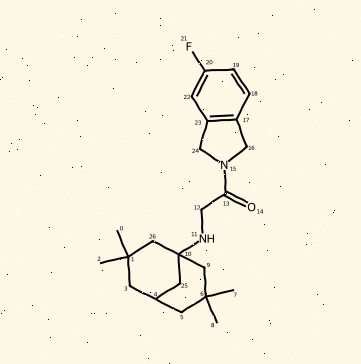 CC1(C)CC2CC(C)(C)CC(NCC(=O)N3Cc4ccc(F)cc4C3)(C2)C1